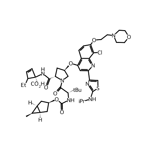 CCC1C=C[C@]1(NC(=O)[C@@H]1C[C@@H](Oc2cc(-c3csc(NC(C)C)n3)nc3c(Cl)c(OCCN4CCOCC4)ccc23)CN1C(=O)[C@@H](NC(=O)O[C@@H]1C[C@@H]2[C@H](C)[C@@H]2C1)C(C)(C)C)C(=O)O